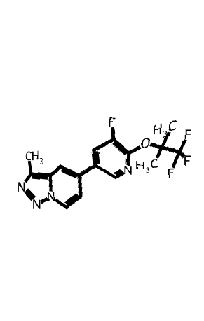 Cc1nnn2ccc(-c3cnc(OC(C)(C)C(F)(F)F)c(F)c3)cc12